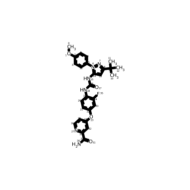 COc1ccc(-n2nc(C(C)(C)C)cc2NC(=O)Nc2ccc(Oc3ccnc(C(N)=O)c3)cc2F)cc1